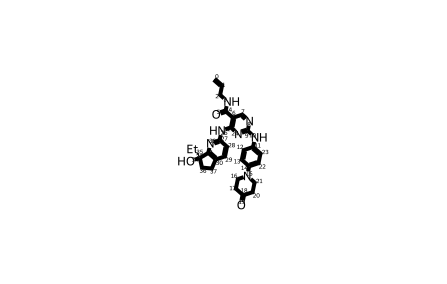 C=CCNC(=O)c1cnc(Nc2ccc(N3CCC(=O)CC3)cc2)nc1Nc1ccc2c(n1)[C@@](O)(CC)CC2